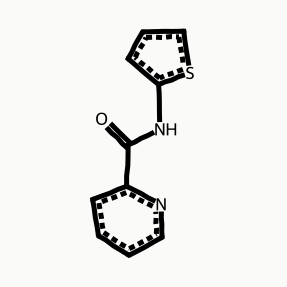 O=C(Nc1cccs1)c1ccccn1